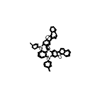 Cc1ccc(N2c3cc4oc5c6ccccc6ccc5c4cc3P3(=O)c4cc5c(cc4N(c4ccc(C)cc4)c4cccc2c43)oc2c3ccccc3ccc52)cc1